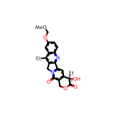 CCc1c2c(nc3ccc(OCOC)cc13)-c1cc3c(c(=O)n1C2)COC(=O)[C@]3(O)CC